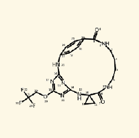 O=C1NCCCCNC(=O)C2(CC2)Nc2nc(nc(OCC(F)(F)F)n2)Nc2ccc1cc2